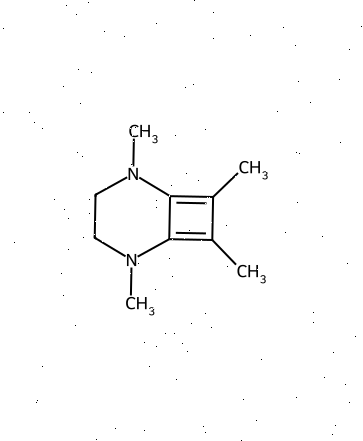 CC1=C2C(=C1C)N(C)CCN2C